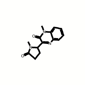 CN1C(=O)CCC1c1nc2ccccc2n(C)c1=O